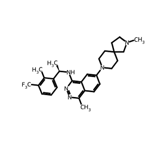 Cc1c([C@@H](C)Nc2nnc(C)c3ccc(N4CCC5(CCN(C)C5)CC4)cc23)cccc1C(F)(F)F